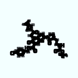 CC(C)(C)OC(=O)NCCN1CCN(c2cnc3c(cc(C(=O)NCc4ccc(Cl)cc4)c(=O)n3CC(=O)N3CC4(CC4)C3)n2)C1=O